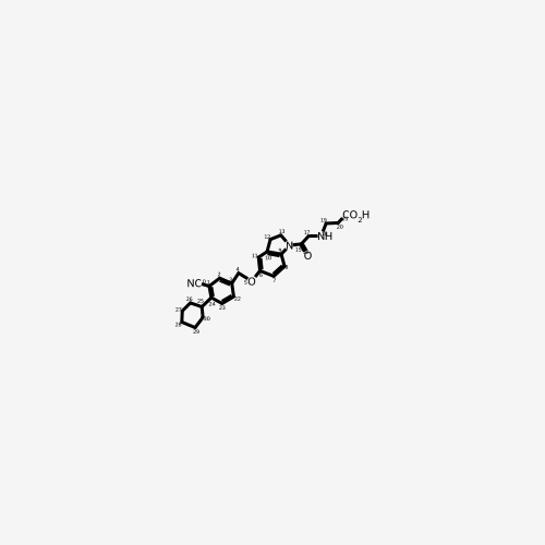 N#Cc1cc(COc2ccc3c(c2)CCN3C(=O)CNCCC(=O)O)ccc1C1CCCCC1